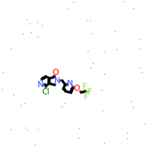 O=C1c2ccnc(Cl)c2CN1Cc1cccc(OCC(F)(F)F)n1